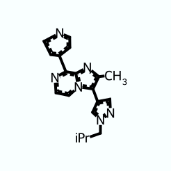 Cc1nc2c(-c3ccncc3)nccn2c1-c1cnn(CC(C)C)c1